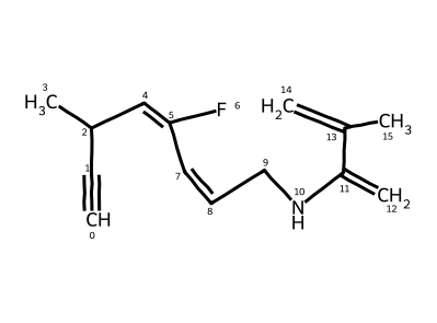 C#CC(C)/C=C(F)\C=C/CNC(=C)C(=C)C